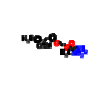 COc1cc(C)ccc1C1=Cc2cccc(OCCCOC(=O)C(C)(N)CN)c2CCC1